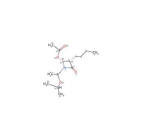 CCCC[C@@H]1C(=O)N(C(C)O[SiH](C)C)[C@@H]1OC(C)=O